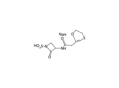 O=C(CC1=CSCCO1)NC1CN(S(=O)(=O)O)C1=O.[NaH]